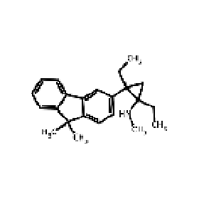 CCC1(NC)CC1(CC)c1ccc2c(c1)-c1ccccc1C2(C)C